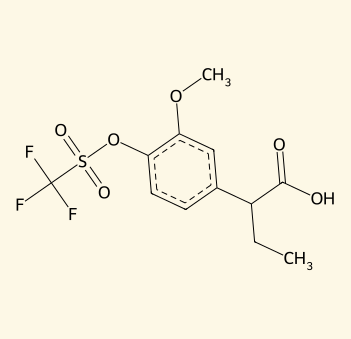 CCC(C(=O)O)c1ccc(OS(=O)(=O)C(F)(F)F)c(OC)c1